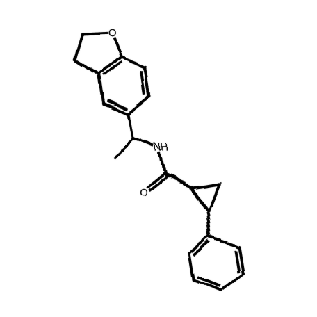 CC(NC(=O)C1CC1c1ccccc1)c1ccc2c(c1)CCO2